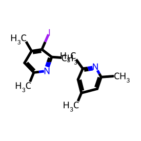 Cc1cc(C)c(I)c(C)n1.Cc1cc(C)nc(C)c1